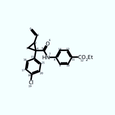 C=CC1CC1(C(=O)Nc1ccc(C(=O)OCC)cc1)c1ccc(Cl)cc1